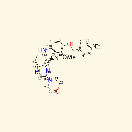 CCc1ccc(COc2ccc(Nc3ccc4ncc(N5CCOCC5)nc4c3C#N)cc2OC)cc1